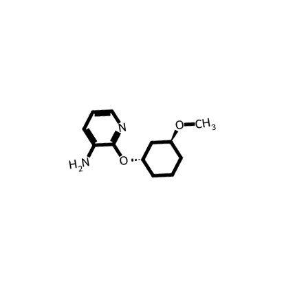 CO[C@H]1CCC[C@H](Oc2ncccc2N)C1